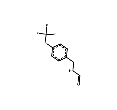 O=CNCc1ccc(SC(F)(F)F)cc1